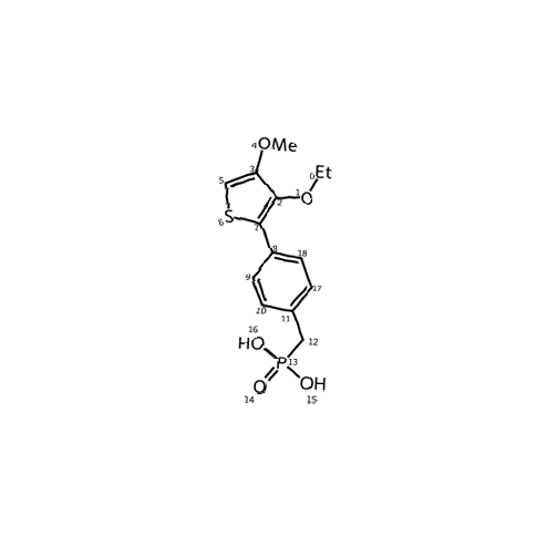 CCOc1c(OC)csc1-c1ccc(CP(=O)(O)O)cc1